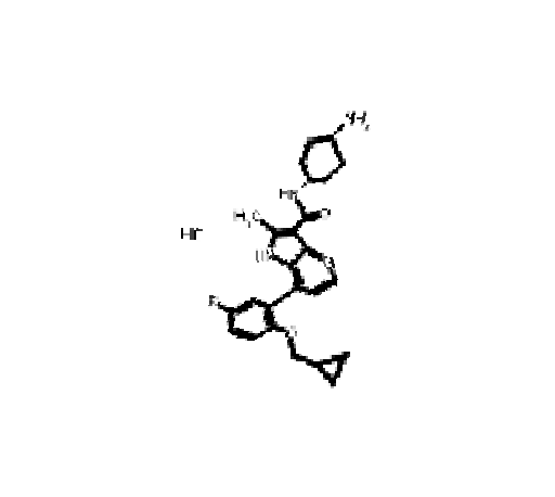 Cc1[nH]c2c(-c3cc(F)ccc3OCC3CC3)ccnc2c1C(=O)N[C@H]1CC[C@H](N)CC1.Cl